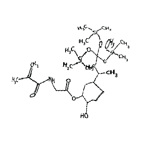 C=C(C)C(=O)NCC(=O)OC1CC(C(C)[SiH2]C(O[Si](C)(C)C)(O[Si](C)(C)C)O[Si](C)(C)C)CCC1O